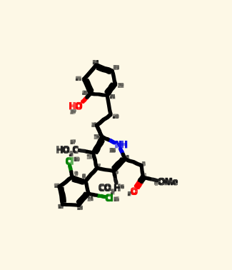 COC(=O)CC1=C(C(=O)O)C(c2c(Cl)cccc2Cl)C(C(=O)O)=C(CCc2ccccc2O)N1